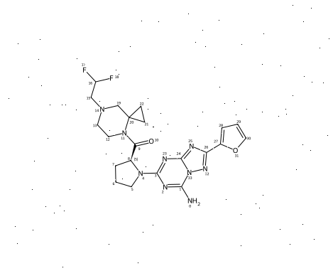 Nc1nc(N2CCC[C@H]2C(=O)N2CCN(CC(F)F)CC23CC3)nc2nc(-c3ccco3)nn12